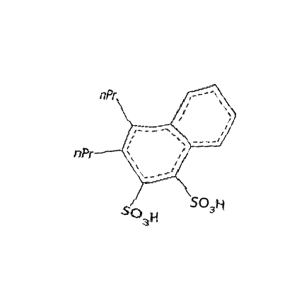 CCCc1c(S(=O)(=O)O)c(S(=O)(=O)O)c2ccccc2c1CCC